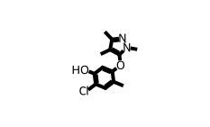 Cc1cc(Cl)c(O)cc1Oc1c(C)c(C)nn1C